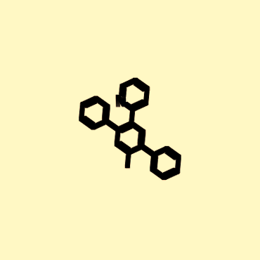 Cc1cc(-c2ccccc2)c(-c2ccccn2)cc1-c1ccccc1